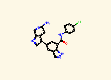 Nc1cc2c(-c3cc(C(=O)Nc4ccc(Cl)cc4)c4[nH]ncc4c3)c[nH]c2cn1